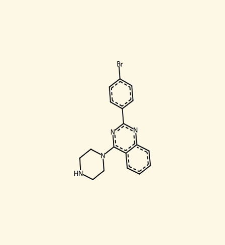 Brc1ccc(-c2nc(N3CCNCC3)c3ccccc3n2)cc1